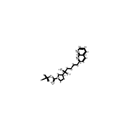 CC(C)(C)OC(=O)N1CCC(C(F)(F)CCCCc2ccc3cccnc3n2)C1